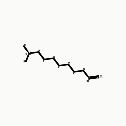 CN(C)CCCCCCCN=S